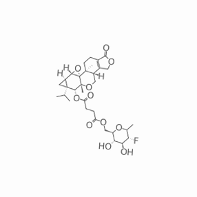 CC1O[C@H](COC(=O)CCC(=O)O[C@@H]2[C@@]3(C(C)C)C[C@H]3[C@@H]3O[C@@]34[C@@]3(C)CCC5=C(COC5=O)[C@@H]3CO[C@]24C)[C@@H](O)[C@H](O)[C@H]1F